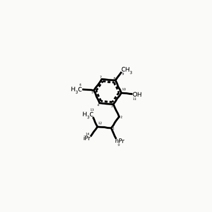 CCCC(Cc1cc(C)cc(C)c1O)C(C)C(C)C